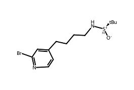 CC(C)(C)[S@@+]([O-])NCCCCc1ccnc(Br)c1